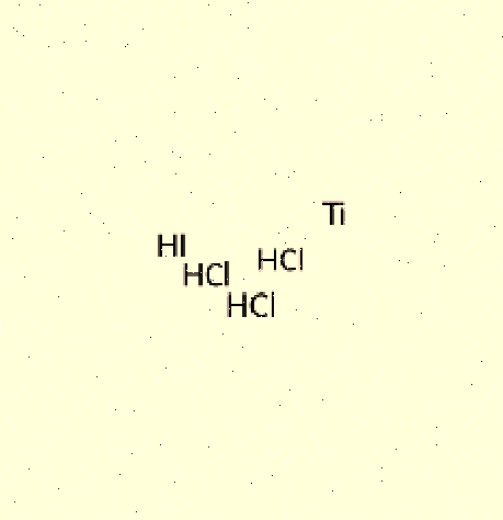 Cl.Cl.Cl.I.[Ti]